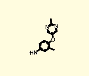 Cc1ncc(Oc2ccc([NH])cc2C)cn1